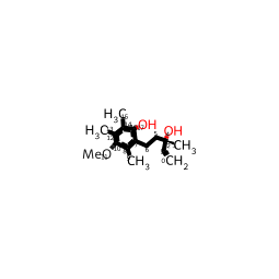 C=C[C@@](C)(O)CCc1c(C)c(OC)c(C)c(C)c1O